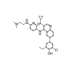 CCc1cc(-c2ccc3ncc(C(=O)C4CC4)c(Nc4ccc(NCCN(C)C)nc4)c3c2)cc(Cl)c1O